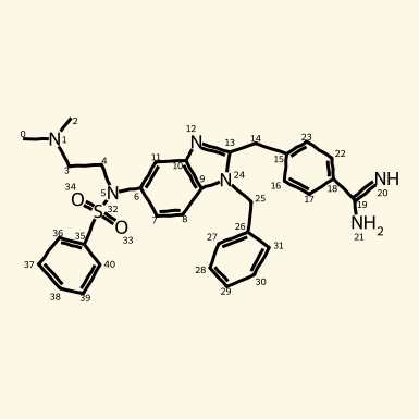 CN(C)CCN(c1ccc2c(c1)nc(Cc1ccc(C(=N)N)cc1)n2Cc1ccccc1)S(=O)(=O)c1ccccc1